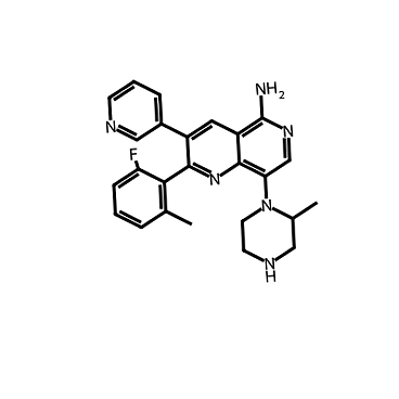 Cc1cccc(F)c1-c1nc2c(N3CCNCC3C)cnc(N)c2cc1-c1cccnc1